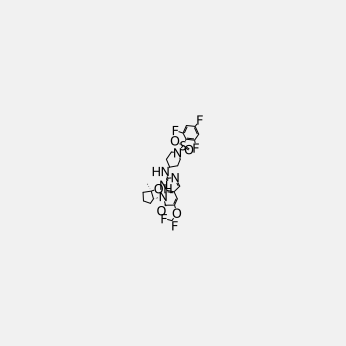 C[C@@]1(O)CCC[C@H]1n1c(=O)c(OC(F)F)cc2cnc(NC3CCN(S(=O)(=O)c4c(F)cc(F)cc4F)CC3)nc21